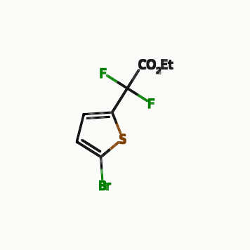 CCOC(=O)C(F)(F)c1ccc(Br)s1